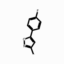 [CH2]c1cc(-c2ccc(F)cc2)on1